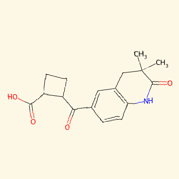 CC1(C)Cc2cc(C(=O)C3CCC3C(=O)O)ccc2NC1=O